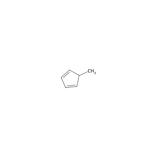 CC1C=CC=C1